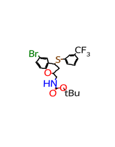 CC(C)(C)OC(=O)NCC1CC(Sc2cccc(C(F)(F)F)c2)c2cc(Br)ccc2O1